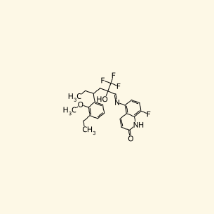 CCc1cccc(C(CC)CC(O)(/C=N/c2ccc(F)c3[nH]c(=O)ccc23)C(F)(F)F)c1OC